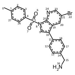 Cc1ccc(S(=O)(=O)n2cc(-c3ccc(CN)cc3)c3cc(Br)cnc32)cc1